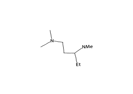 CCC(CCN(C)C)NC